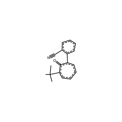 CC(C)(C)c1ccccc(-c2ccccc2C#N)c1=O